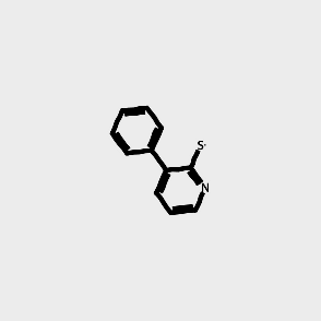 [S]c1ncccc1-c1ccccc1